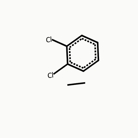 CC.Clc1ccccc1Cl